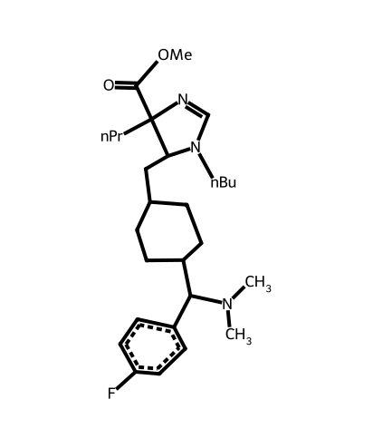 CCCCN1C=NC(CCC)(C(=O)OC)C1CC1CCC(C(c2ccc(F)cc2)N(C)C)CC1